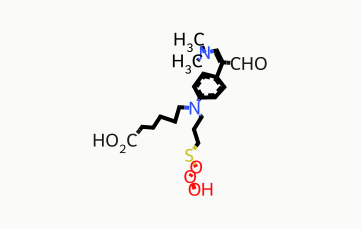 CN(C)/C=C(/C=O)c1ccc(N(CCCCCC(=O)O)CCCSOOO)cc1